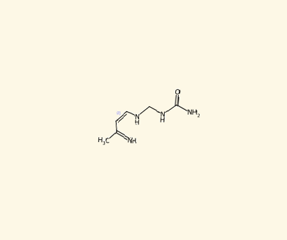 CC(=N)/C=C\NCNC(N)=O